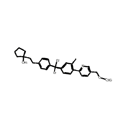 CCC(CC)(c1ccc(CCC2(O)CCCC2)cc1)c1ccc(-c2ccc(COC=O)cn2)c(C)c1